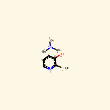 CCCCN(CCCC)CCCC.O=C(O)c1ncccc1O